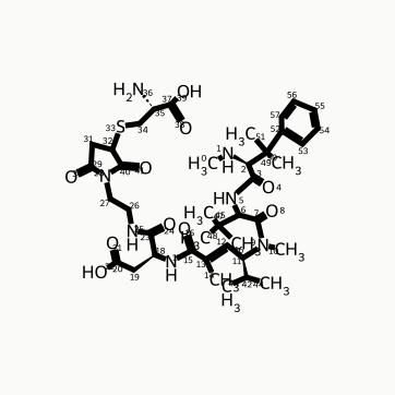 CN[C@H](C(=O)NC(C(=O)N(C)[C@H](/C=C(\C)C(=O)N[C@@H](CC(=O)O)C(=O)NCCN1C(=O)CC(SC[C@H](N)C(=O)O)C1=O)C(C)C)C(C)(C)C)C(C)(C)c1ccccc1